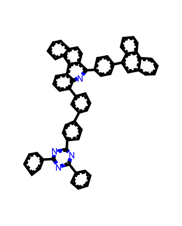 c1ccc(-c2nc(-c3ccccc3)nc(-c3ccc(-c4cccc(-c5cccc6c5nc(-c5ccc(-c7cc8ccccc8c8ccccc78)cc5)c5ccc7ccccc7c56)c4)cc3)n2)cc1